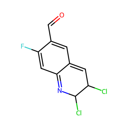 O=Cc1cc2c(cc1F)=NC(Cl)C(Cl)C=2